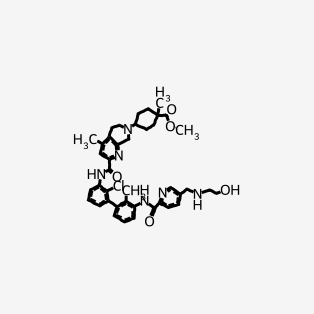 COC(=O)C1(C)CCC(N2CCc3c(C)cc(C(=O)Nc4cccc(-c5cccc(NC(=O)c6ccc(CNCCO)cn6)c5C)c4Cl)nc3C2)CC1